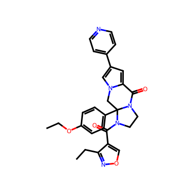 CCOc1ccc(C23Cn4cc(-c5ccncc5)cc4C(=O)N2CCN3C(=O)c2conc2CC)cc1